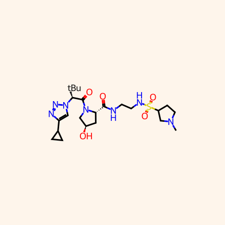 CN1CCC(S(=O)(=O)NCCNC(=O)[C@@H]2C[C@@H](O)CN2C(=O)[C@@H](n2cc(C3CC3)nn2)C(C)(C)C)C1